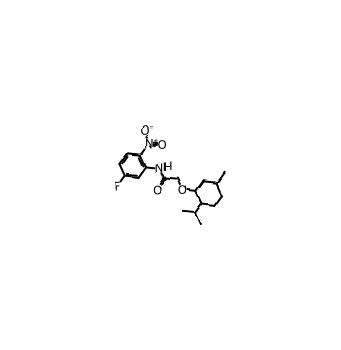 CC1CCC(C(C)C)C(OCC(=O)Nc2cc(F)ccc2[N+](=O)[O-])C1